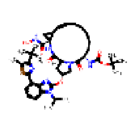 Cc1sc(-c2cccc3c2nc(O[C@@H]2C[C@H]4C(=O)N[C@]5(C(=O)NO)CC5/C=C\CCCCC[C@H](NC(=O)OC(C)(C)C)C(=O)N4C2)n3C(C)C)nc1C(C)(C)C